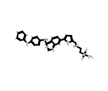 CS(=O)(=O)CCNCc1ccc(-c2ccc3c(Nc4ccc(Oc5ccccc5)cc4)ncnc3c2)o1